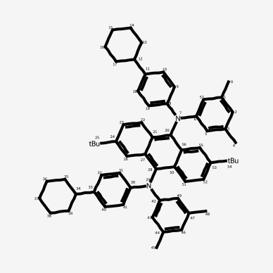 Cc1cc(C)cc(N(c2ccc(C3CCCCC3)cc2)c2c3ccc(C(C)(C)C)cc3c(N(c3ccc(C4CCCCC4)cc3)c3cc(C)cc(C)c3)c3ccc(C(C)(C)C)cc23)c1